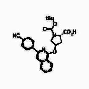 CC(C)(C)OC(=O)N1C[C@H](Oc2nc(-c3ccc(C#N)cc3)cc3ccccc23)C[C@H]1C(=O)O